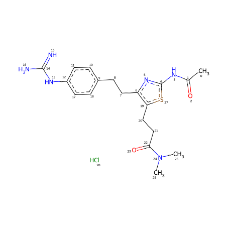 CC(=O)Nc1nc(CCc2ccc(NC(=N)N)cc2)c(CCC(=O)N(C)C)s1.Cl